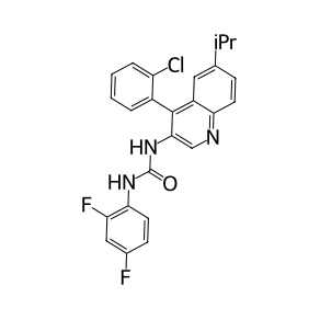 CC(C)c1ccc2ncc(NC(=O)Nc3ccc(F)cc3F)c(-c3ccccc3Cl)c2c1